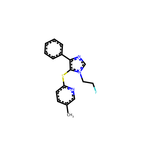 Cc1ccc(Sc2c(-c3ccccc3)ncn2CCF)nc1